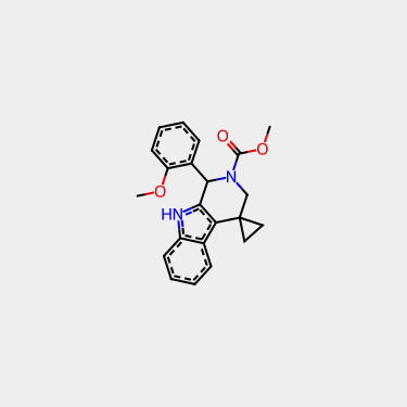 COC(=O)N1CC2(CC2)c2c([nH]c3ccccc23)C1c1ccccc1OC